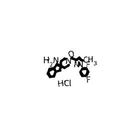 Cc1cc(C(=O)N2CCC3(CC2)Cc2ccccc2[C@H]3N)nn1-c1ccc(F)cc1F.Cl